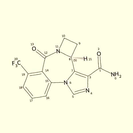 NC(=O)c1ncn2c1[C@@H]1CCN1C(=O)c1c-2cccc1C(F)(F)F